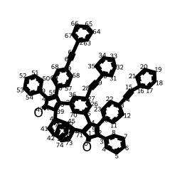 O=C1C(c2ccccc2)=C(c2ccc(C#Cc3ccccc3)cc2)C(c2cc(C#Cc3ccccc3)cc(C3=C(c4ccccc4)C(=O)C(c4ccccc4)=C3c3ccc(C#Cc4ccccc4)cc3)c2)=C1c1ccccc1